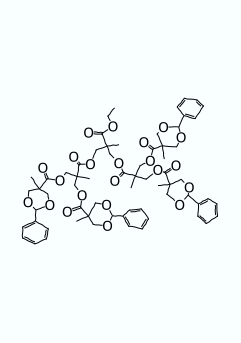 CCOC(=O)C(C)(COC(=O)C(C)(COC(=O)C1(C)COC(c2ccccc2)OC1)COC(=O)C1(C)COC(c2ccccc2)OC1)COC(=O)C(C)(COC(=O)C1(C)COC(c2ccccc2)OC1)COC(=O)C1(C)COC(c2ccccc2)OC1